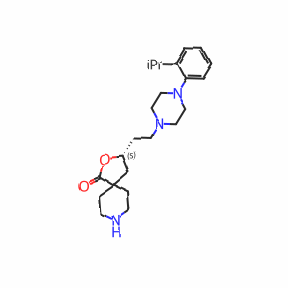 CC(C)c1ccccc1N1CCN(CC[C@@H]2CC3(CCNCC3)C(=O)O2)CC1